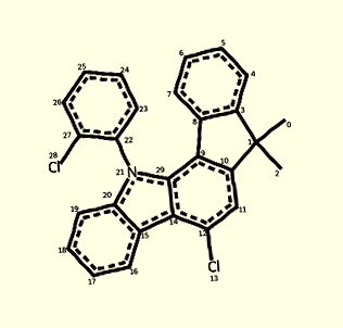 CC1(C)c2ccccc2-c2c1cc(Cl)c1c3ccccc3n(-c3ccccc3Cl)c21